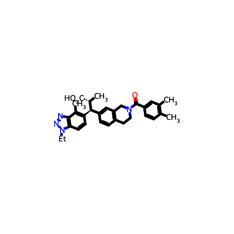 CCn1nnc2c(C)c([C@H](c3ccc4c(c3)CN(C(=O)c3ccc(C)c(C)c3)CC4)[C@@H](C)C(=O)O)ccc21